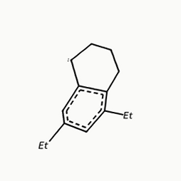 CCc1cc2c(c(CC)c1)CCC[C]2